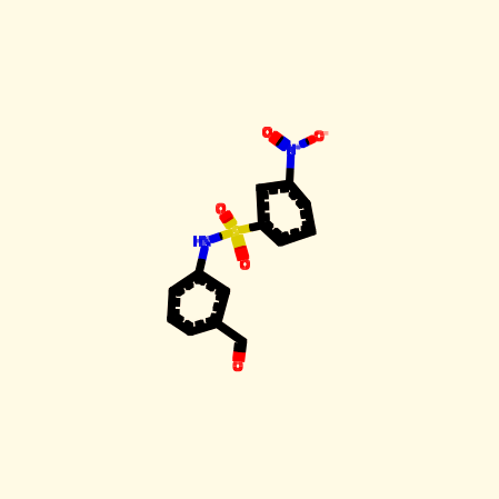 O=Cc1cccc(NS(=O)(=O)c2cccc([N+](=O)[O-])c2)c1